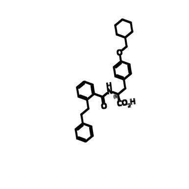 O=C(N[C@@H](Cc1ccc(OCC2CCCCC2)cc1)C(=O)O)c1ccccc1CCc1ccccc1